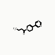 O=C(CCC(F)(F)F)N1CC=C(c2cncnc2)CC1